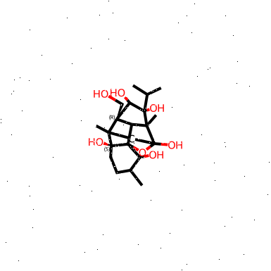 CC1CC[C@@]2(O)C3(OC4(O)CC2(C)[C@]2(CO)C(O)C(O)(C(C)C)C4(C)C32)C1O